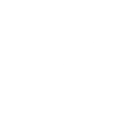 CC1N=C(c2ccccc2)OC1/C=C/N(c1ccc(C2C=CC=CC2)cc1)C1C=c2oc(-c3ccccc3)nc2=CC1